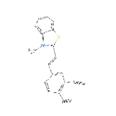 CNc1ccc(C=CC2Sc3ccccc3N2C)cc1OC